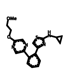 COCCOc1cnc(-c2ccccc2-c2csc(NC3CC3)n2)cn1